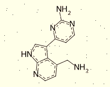 NCc1ccnc2[nH]cc(-c3ccnc(N)n3)c12